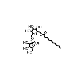 CCCCCCCCCC(=O)OCC1OC(COC[C@]2(CO)O[C@@H](CO)C(O)[C@H]2O)C(O)[C@@H](O)[C@H]1O